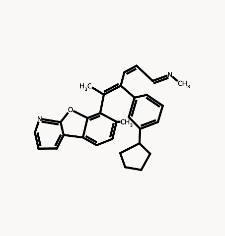 C/N=C/C=C\C(=C(/C)c1c(C)ccc2c1oc1ncccc12)c1cccc(C2CCCC2)c1